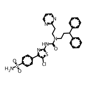 NS(=O)(=O)c1ccc(-c2nc(NC(=O)N(CCc3ncccn3)CCC(c3ccccc3)c3ccccc3)sc2Cl)cc1